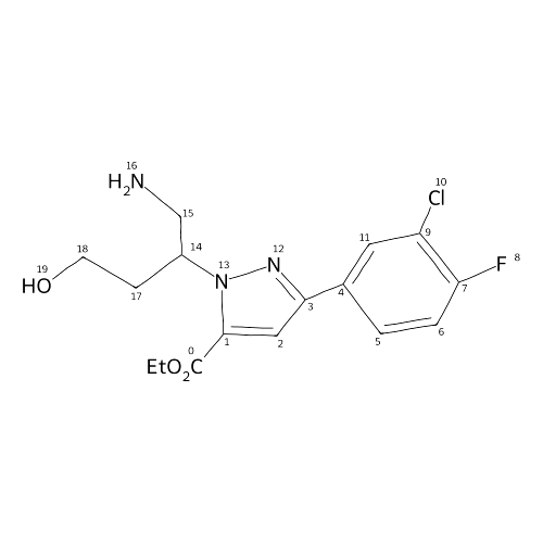 CCOC(=O)c1cc(-c2ccc(F)c(Cl)c2)nn1C(CN)CCO